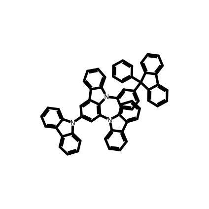 c1ccc(C2(c3cccc(-n4c5ccccc5c5cc(-n6c7ccccc7c7ccccc76)cc(-n6c7ccccc7c7ccccc76)c54)c3)c3ccccc3-c3ccccc32)cc1